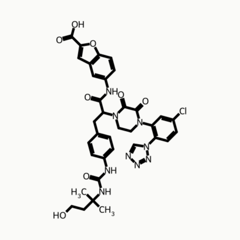 CC(C)(CCO)NC(=O)Nc1ccc(CC(C(=O)Nc2ccc3oc(C(=O)O)cc3c2)N2CCN(c3cc(Cl)ccc3-n3cnnn3)C(=O)C2=O)cc1